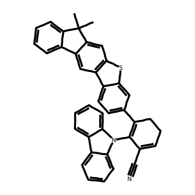 CC1(C)c2ccccc2-c2cc3c(cc21)sc1cc(C2=C(n4c5ccccc5c5ccccc54)C(C#N)=CCC2)ccc13